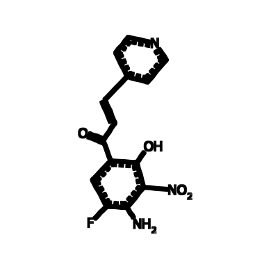 Nc1c(F)cc(C(=O)/C=C/c2ccncc2)c(O)c1[N+](=O)[O-]